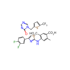 Cc1cc(Nc2nc(-c3ccc(F)c(F)c3)cs2)c(C(=O)O)cc1C(=O)O.O=c1ncncn1Cc1ccc(C(F)(F)F)s1